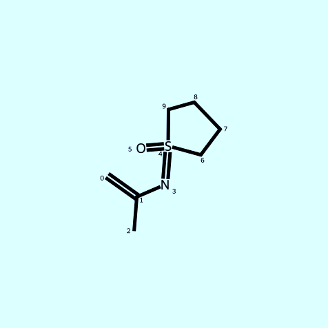 C=C(C)N=S1(=O)CCCC1